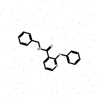 O=C(NCc1ccccc1)c1cccnc1Oc1ccccc1